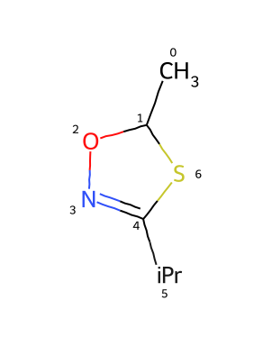 CC1ON=C(C(C)C)S1